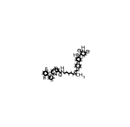 CN(CCCCCNC(=O)c1cnn2ccc(N3CCC[C@@H]3c3cc(F)ccc3F)nc12)CCN1CCN(c2ccc(NC3CCC(=O)NC3=O)cc2)CC1